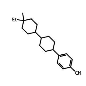 CCC1(C)CCC(C2CCC(c3ccc(C#N)cc3)CC2)CC1